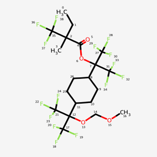 CCC(C)(C(=O)OC(C1CCC(C(OCOC)(C(F)(F)F)C(F)(F)F)CC1)(C(F)(F)F)C(F)(F)F)C(F)(F)F